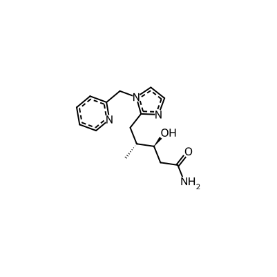 C[C@H](Cc1nccn1Cc1ccccn1)[C@@H](O)CC(N)=O